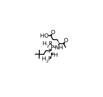 CC(=O)[C@H](CCC(=O)O)NP(P)P(CCC(C)(C)C)PP